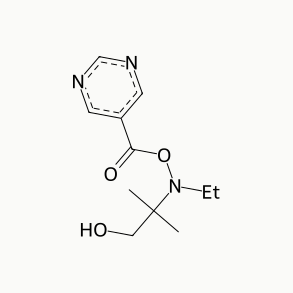 CCN(OC(=O)c1cncnc1)C(C)(C)CO